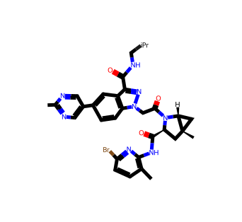 Cc1ncc(-c2ccc3c(c2)c(C(=O)NCC(C)C)nn3CC(=O)N2[C@H](C(=O)Nc3nc(Br)ccc3C)C[C@@]3(C)C[C@@H]23)cn1